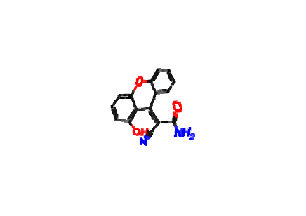 N#C/C(C(N)=O)=C1/c2ccccc2Oc2cccc(O)c21